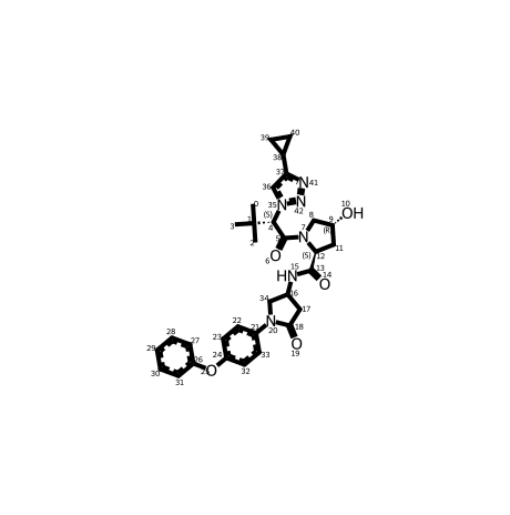 CC(C)(C)[C@@H](C(=O)N1C[C@H](O)C[C@H]1C(=O)NC1CC(=O)N(c2ccc(Oc3ccccc3)cc2)C1)n1cc(C2CC2)nn1